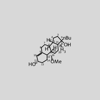 CCCC[C@]1(O)CC[C@H]2[C@@H]3CCC4=C[C@@H](O)CC[C@]4(COC)[C@H]3CC[C@@]21C